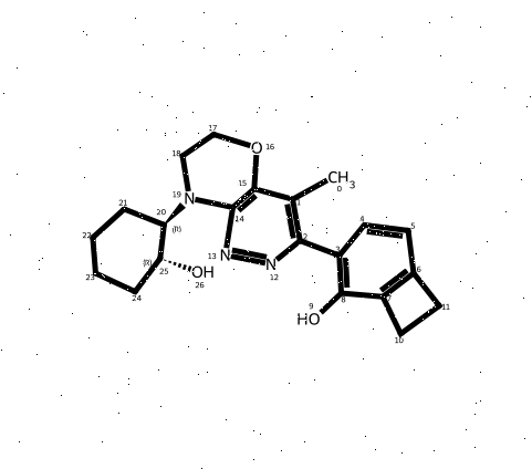 Cc1c(-c2ccc3c(c2O)CC3)nnc2c1OCCN2[C@@H]1CCCC[C@H]1O